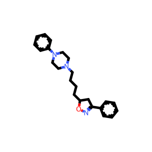 c1ccc(C2=NOC(CCCCN3CCN(c4ccccc4)CC3)C2)cc1